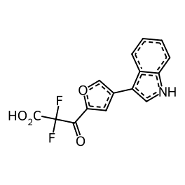 O=C(O)C(F)(F)C(=O)c1cc(-c2c[nH]c3ccccc23)co1